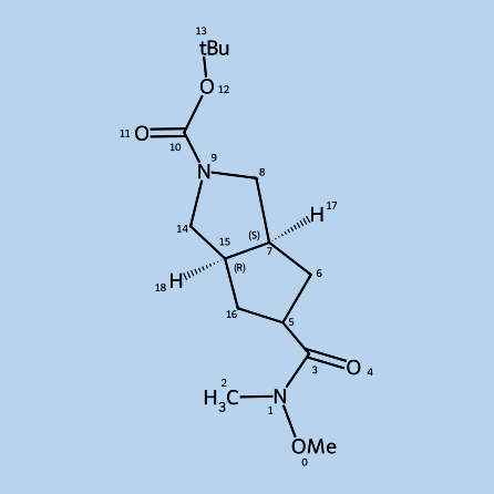 CON(C)C(=O)C1C[C@@H]2CN(C(=O)OC(C)(C)C)C[C@@H]2C1